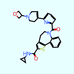 O=C(NC1CC1)c1cc2c(s1)-c1ccccc1N(C(=O)c1cccc(C3=CCN(C4COC4)CC3)n1)CC2